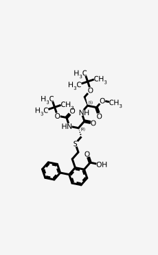 COC(=O)[C@H](COC(C)(C)C)NC(=O)[C@H](CSCCc1c(C(=O)O)cccc1-c1ccccc1)NC(=O)OC(C)(C)C